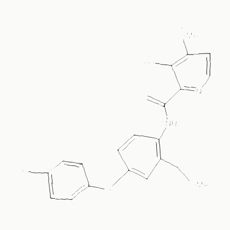 COCc1cc(Oc2ccc(C(F)(F)F)cc2)ccc1NC(=O)c1nccc(OC)c1O